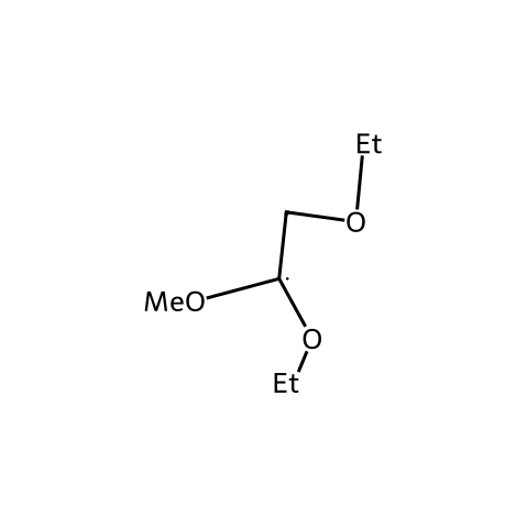 CCOC[C](OC)OCC